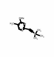 COc1nc(C#C[Si](C)(C)C)ncc1C